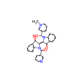 C[n+]1cccc(C(O)N2/C(=C3\C(=O)c4ccccc4N3C(=O)c3cccnc3)C(=O)c3ccccc32)c1